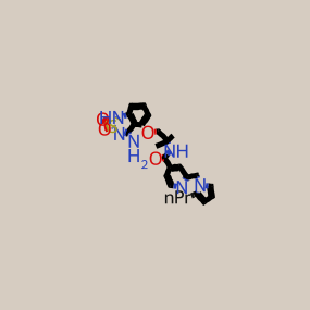 CCCc1cccn1Cc1cc(C(=O)NC(C)(C)COc2cccc3c2C(N)=NS(=O)(=O)N3)ccn1